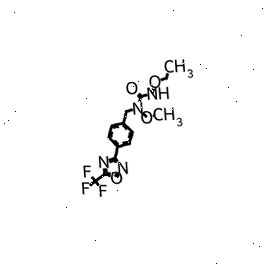 CCONC(=O)N(Cc1ccc(-c2noc(C(F)(F)F)n2)cc1)OC